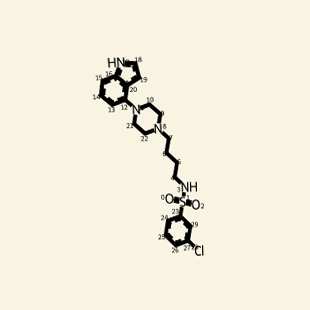 O=S(=O)(NCCCCN1CCN(c2cccc3[nH]ccc23)CC1)c1cccc(Cl)c1